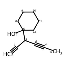 C#CC(C#CC)C1(O)CCCCC1